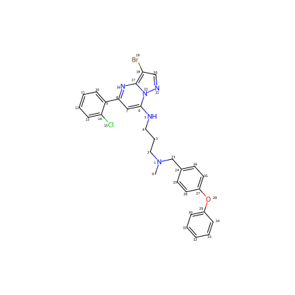 CN(CCCNc1cc(-c2ccccc2Cl)nc2c(Br)cnn12)Cc1ccc(Oc2ccccc2)cc1